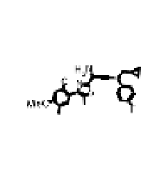 COc1cc(Cl)c(-c2nc(C(N)C#C[C@@H](CC3CC3)c3ccc(F)cc3)sc2C)cc1C